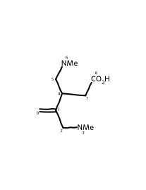 C=C(CNC)C(CNC)CC(=O)O